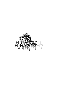 Cc1cc2c(cc1N(C)C)N(C)c1cc(N(C)C)ccc1N2C(=O)On1c(-c2ccccc2)csc1=S